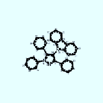 c1ccc(-c2nn(-c3ccccc3)c(-c3ccccc3)c2-n2c3ccccc3c3ccccc32)cc1